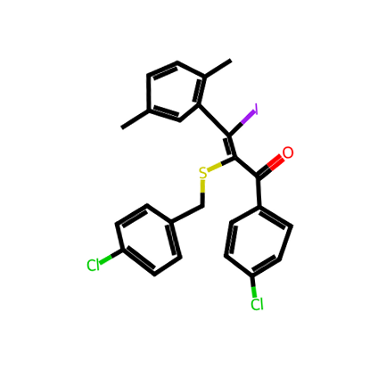 Cc1ccc(C)c(C(I)=C(SCc2ccc(Cl)cc2)C(=O)c2ccc(Cl)cc2)c1